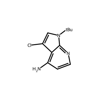 CC(C)(C)n1cc(Cl)c2c(N)ccnc21